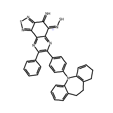 N=C1/C(=N\S)c2nc(-c3ccc(N4C5=C(CCC=C5)CCc5ccccc54)cc3)c(-c3ccccc3)nc2-c2nsnc21